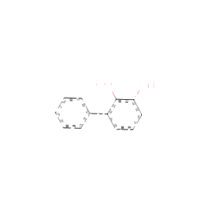 Oc1cc[c]c(-c2ccccc2)c1O